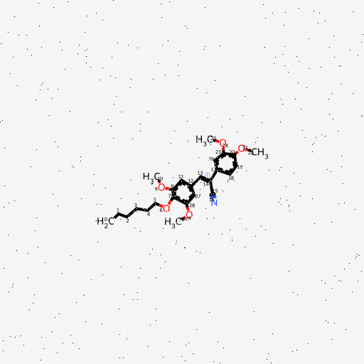 [CH2]CCCCCOc1c(OC)cc(/C=C(\C#N)c2ccc(OC)c(OC)c2)cc1OC